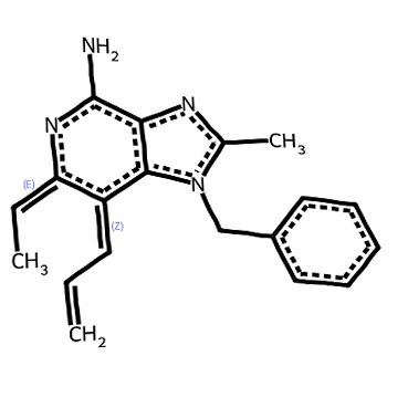 C=C/C=c1\c(=C/C)nc(N)c2nc(C)n(Cc3ccccc3)c12